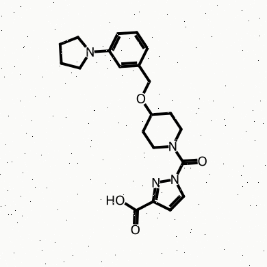 O=C(O)c1ccn(C(=O)N2CCC(OCc3cccc(N4CCCC4)c3)CC2)n1